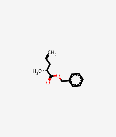 C=CC[C@@H](C)C(=O)OCc1ccccc1